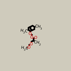 C=C(COCOC)C(=O)OCOC1C2CC(C)CC(C2)C[C@H]1C